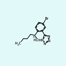 CCCC[C@H](O)c1ccc(Br)cc1-c1nnn[nH]1